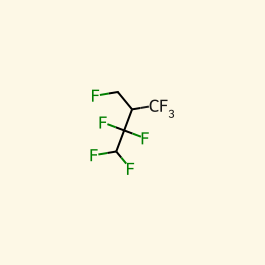 FCC(C(F)(F)F)C(F)(F)C(F)F